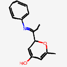 CC1=CC(O)=CC(C(C)=Nc2ccccc2)O1